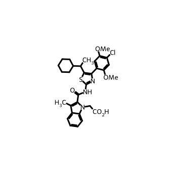 COc1cc(-c2nc(NC(=O)c3c(C)c4ccccc4n3CC(=O)O)sc2C(C)C2CCCCC2)c(OC)cc1Cl